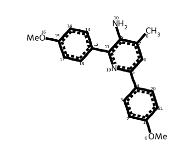 COc1ccc(-c2cc(C)c(N)c(-c3ccc(OC)cc3)n2)cc1